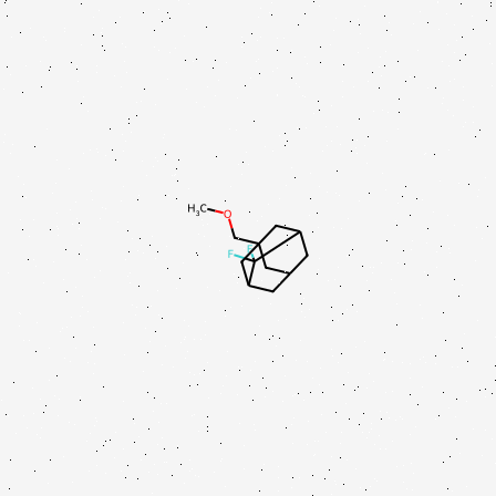 COCC12CC3CC(C1)C(F)(F)C(C3)C2